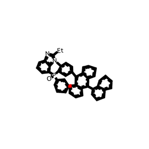 CCc1nc2cccc3c2n1-c1ccc(-c2c4ccccc4c(-c4cccc5ccccc45)c4ccccc24)cc1P3(=O)c1ccccc1